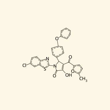 Cc1ccc(C(=O)C2=C(O)C(=O)N(c3nc4ccc(Cl)cc4s3)C2c2ccc(Oc3ccccc3)cc2)o1